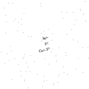 [Co+2].[Ni+2].[S-2].[S-2]